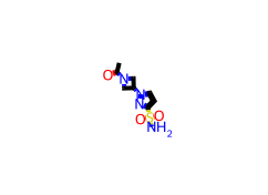 CC(=O)N1CC(n2ccc(S(N)(=O)=O)n2)C1